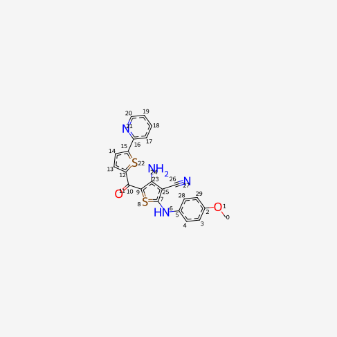 COc1ccc(Nc2sc(C(=O)c3ccc(-c4ccccn4)s3)c(N)c2C#N)cc1